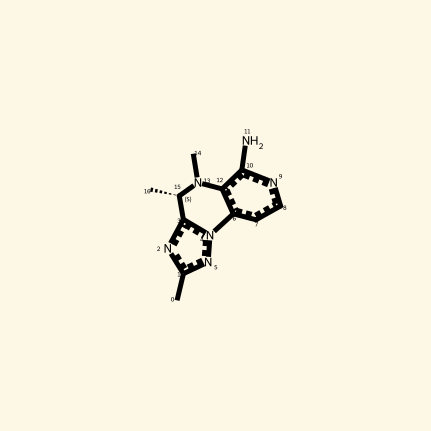 Cc1nc2n(n1)-c1ccnc(N)c1N(C)[C@H]2C